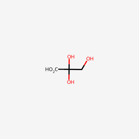 O=C(O)C(O)(O)CO